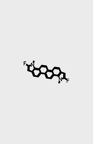 Cn1c(F)cc2ccc3c4ccc5c(ccc6cc(F)n(C)c65)c4ccc3c21